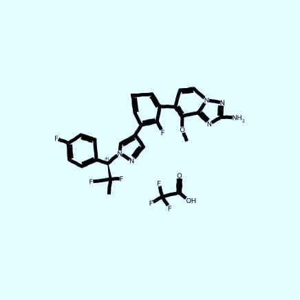 COc1c(-c2cccc(-c3cnn([C@H](c4ccc(F)cc4)C(C)(F)F)c3)c2F)ccn2nc(N)nc12.O=C(O)C(F)(F)F